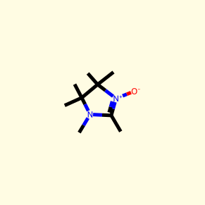 CC1=[N+]([O-])C(C)(C)C(C)(C)N1C